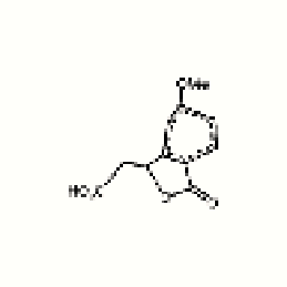 COc1ccc2c(c1)C(CC(=O)O)OC2=O